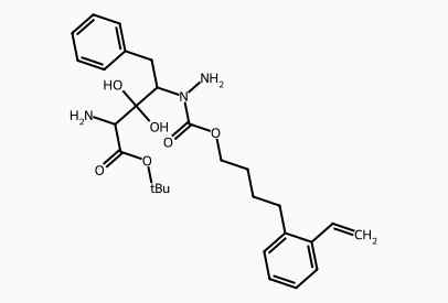 C=Cc1ccccc1CCCCOC(=O)N(N)C(Cc1ccccc1)C(O)(O)C(N)C(=O)OC(C)(C)C